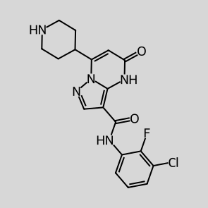 O=C(Nc1cccc(Cl)c1F)c1cnn2c(C3CCNCC3)cc(=O)[nH]c12